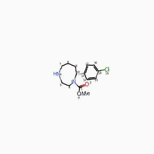 COC(=O)N1CCNCCC[C@@H]1c1ccc(Cl)cc1